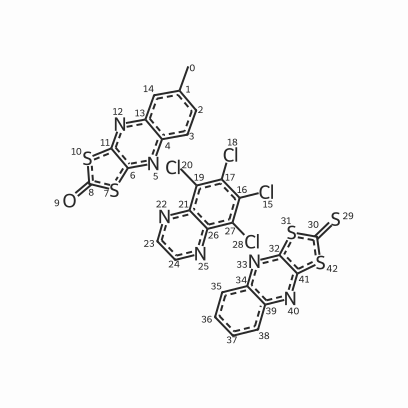 Cc1ccc2nc3sc(=O)sc3nc2c1.Clc1c(Cl)c(Cl)c2nccnc2c1Cl.S=c1sc2nc3ccccc3nc2s1